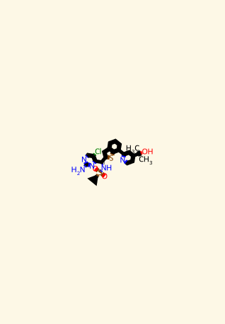 CC(C)(O)c1ccnc(-c2cccc3cc([C@@H](NS(=O)(=O)C4CC4)c4nc(N)ncc4Cl)sc23)c1